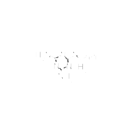 CCC[SiH2]Nc1nc(N)nc(N)n1